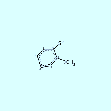 [CH2]c1ccccc1[S]